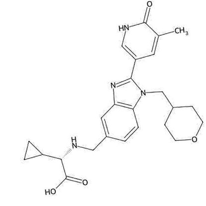 Cc1cc(-c2nc3cc(CN[C@H](C(=O)O)C4CC4)ccc3n2CC2CCOCC2)c[nH]c1=O